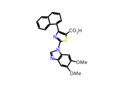 COc1cc2ncn(-c3nc(-c4cccc5ccccc45)c(C(=O)O)s3)c2cc1OC